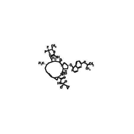 CC(C)Oc1ccc2c(O[C@@H]3C[C@H]4C(=O)N[C@]5(C(=O)NS(=O)(=O)C6CC6)CC5/C=C\CC[C@H](C)C[C@@H](C)[C@H](NC(=O)O[C@H](C)C(F)(F)F)C(=O)N4C3)nccc2c1